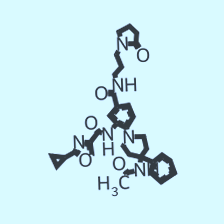 CC(=O)NC1(c2ccccc2)CCN(c2ccc(C(=O)NCCCN3CCCC3=O)cc2NC(=O)c2coc(C3CC3)n2)CC1